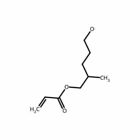 C=CC(=O)OCC(C)CCC[O]